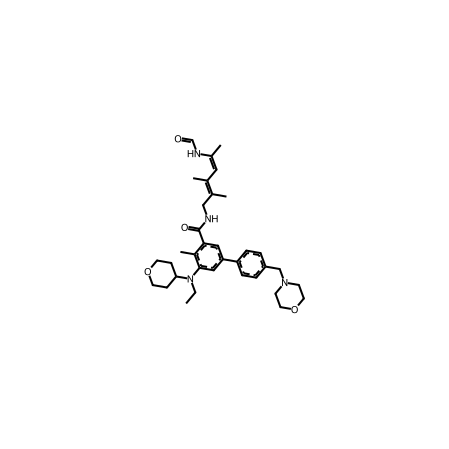 CCN(c1cc(-c2ccc(CN3CCOCC3)cc2)cc(C(=O)NC/C(C)=C(C)/C=C(/C)NC=O)c1C)C1CCOCC1